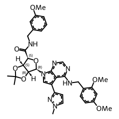 COc1cccc(CNC(=O)[C@H]2O[C@@H](n3cc(-c4ccn(C)n4)c4c(NCc5ccc(OC)cc5OC)ncnc43)[C@@H]3OC(C)(C)O[C@@H]32)c1